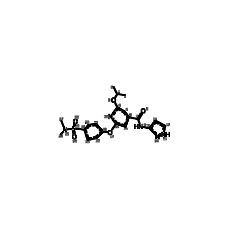 CC(C)Oc1cc(C(=O)Nc2cc[nH]n2)cc(Oc2ccc(S(=O)(=O)N(C)C)cc2)n1